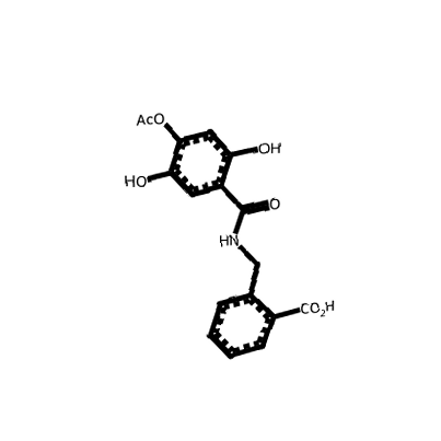 CC(=O)Oc1cc(O)c(C(=O)NCc2ccccc2C(=O)O)cc1O